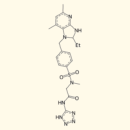 CCC1Nc2nc(C)cc(C)c2N1Cc1ccc(S(=O)(=O)N(C)CC(=O)Nc2nnn[nH]2)cc1